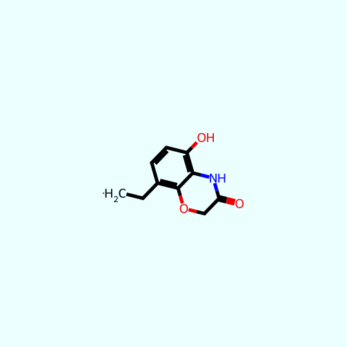 [CH2]Cc1ccc(O)c2c1OCC(=O)N2